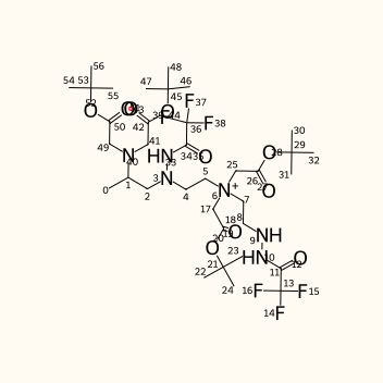 CC(CN(CC[N+](CCNNC(=O)C(F)(F)F)(CC(=O)OC(C)(C)C)CC(=O)OC(C)(C)C)NC(=O)C(F)(F)F)N(CC(=O)OC(C)(C)C)CC(=O)OC(C)(C)C